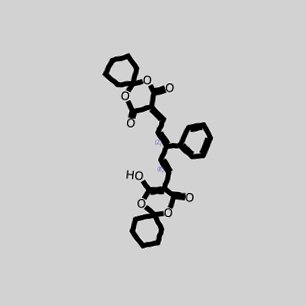 O=C1OC2(CCCCC2)OC(=O)C1=C/C=C(/C=C/C1=C(O)OC2(CCCCC2)OC1=O)c1ccccc1